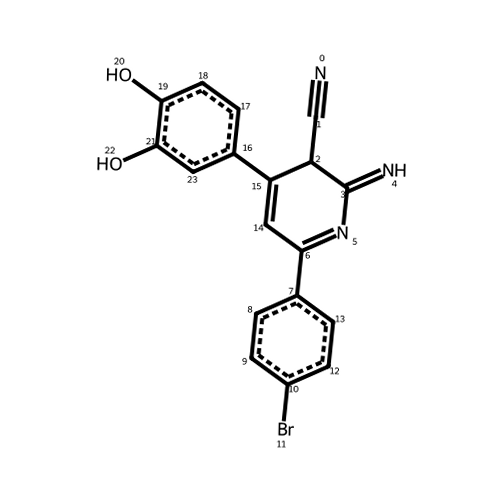 N#CC1C(=N)N=C(c2ccc(Br)cc2)C=C1c1ccc(O)c(O)c1